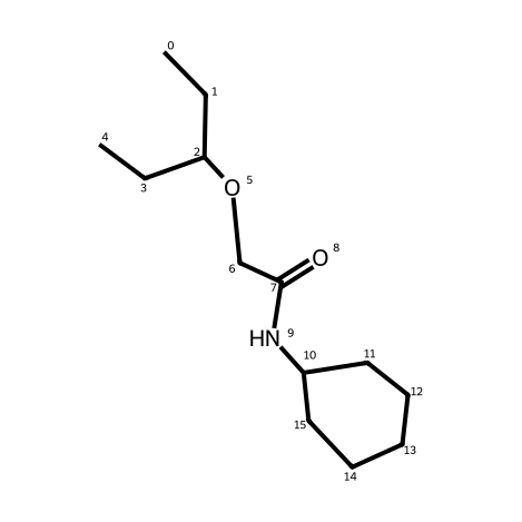 CCC(CC)OCC(=O)NC1CCCCC1